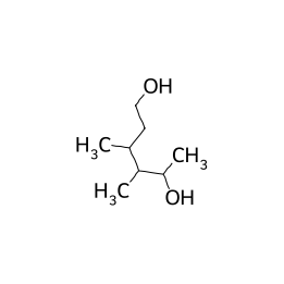 CC(O)C(C)C(C)CCO